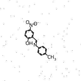 Cc1ccc(N=Cc2cc([N+](=O)[O-])ccc2O)cc1